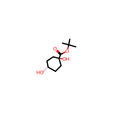 CC(C)(C)OC(=O)[C@]1(O)CC[C@H](O)CC1